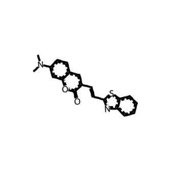 CN(C)c1ccc2cc(/C=C/c3nc4ccccc4s3)c(=O)oc2c1